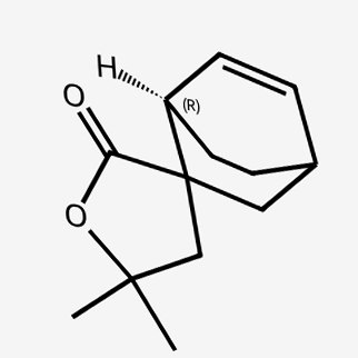 CC1(C)CC2(CC3C=C[C@H]2CC3)C(=O)O1